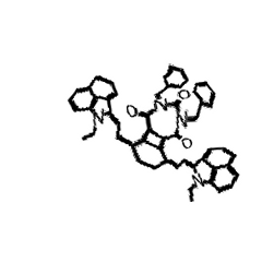 CCn1/c(=C\C=C2\CC/C(=C/C=c3/c4cccc5cccc(c54)n3CC)C3C4C(=O)N(Cc5ccccc5)C(=O)N(Cc5ccccc5)C(=O)C4C23)c2cccc3cccc1c32